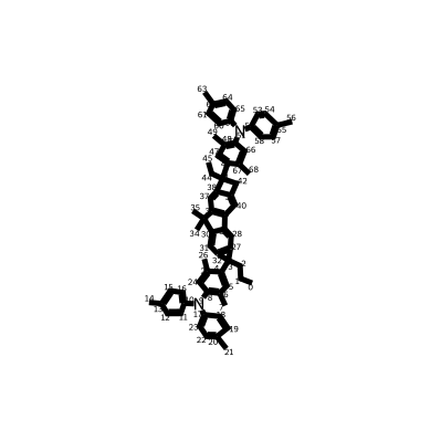 CCCC1(c2cc(C)c(N(c3ccc(C)cc3)c3ccc(C)cc3)cc2C)c2cc3c(cc21)C(C)(C)c1cc2c(cc1-3)CC2(CC)c1cc(C)c(N(c2ccc(C)cc2)c2ccc(C)cc2)cc1C